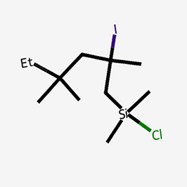 CCC(C)(C)CC(C)(I)C[Si](C)(C)Cl